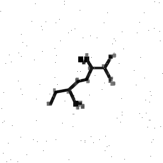 CCC(N)CCC(N)C(F)F